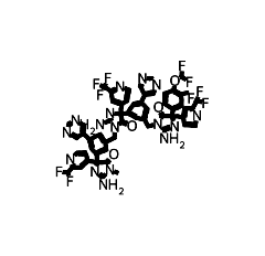 Cc1cc(C2(c3ccnc(C(F)(F)F)c3)N=C(N)N(Cc3cc(-c4cncnc4)cc(C4(c5ccnc(C(F)(F)F)c5)N=C(N)N(Cc5cc(-c6cncnc6)cc(C6(c7ccnc(C(F)F)c7)N=C(N)N(C)C6=O)c5)C4=O)c3)C2=O)ccc1OC(F)F